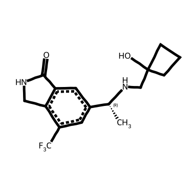 C[C@@H](NCC1(O)CCC1)c1cc2c(c(C(F)(F)F)c1)CNC2=O